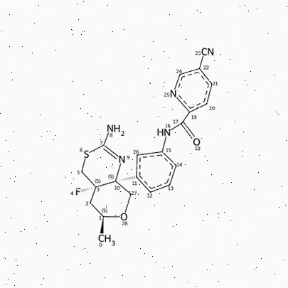 C[C@H]1C[C@@]2(F)CSC(N)=N[C@@]2(c2cccc(NC(=O)c3ccc(C#N)cn3)c2)CO1